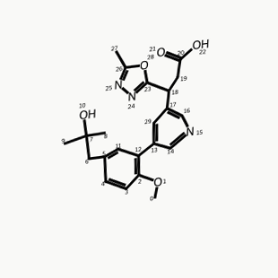 COc1ccc(CC(C)(C)O)cc1-c1cncc(C(CC(=O)O)c2nnc(C)o2)c1